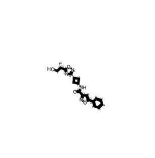 C[C@@H](CO)c1nc([C@H]2C[C@@H](NC(=O)c3cc(-c4ccccc4)on3)C2)no1